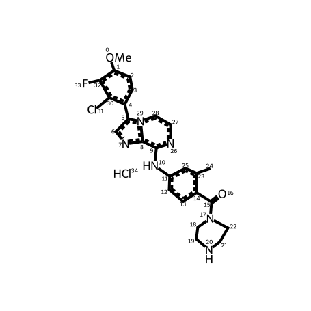 COc1ccc(-c2cnc3c(Nc4ccc(C(=O)N5CCNCC5)c(C)c4)nccn23)c(Cl)c1F.Cl